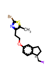 Cc1sc(Br)nc1CCOc1ccc2c(c1)CC[C@H]2CI